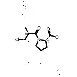 C[C@H](CCl)C(=O)N1CCC[C@H]1C(=O)O